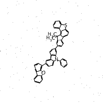 CC1(C)c2cc(-c3ccc4c5cc(-c6cccc7c6oc6ccccc67)ccc5n(-c5ccccc5)c4c3)ccc2-c2ccc3sc4ccccc4c3c21